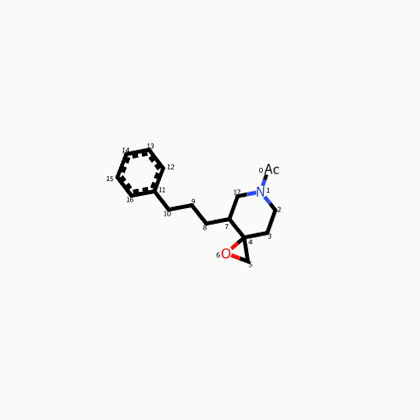 CC(=O)N1CCC2(CO2)C(CCCc2ccccc2)C1